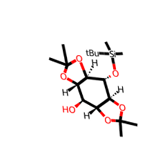 CC1(C)O[C@@H]2[C@@H](O[Si](C)(C)C(C)(C)C)[C@@H]3OC(C)(C)O[C@H]3[C@H](O)[C@H]2O1